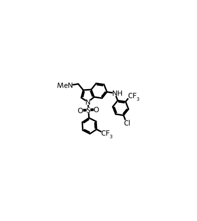 CNCc1cn(S(=O)(=O)c2cccc(C(F)(F)F)c2)c2cc(Nc3ccc(Cl)cc3C(F)(F)F)ccc12